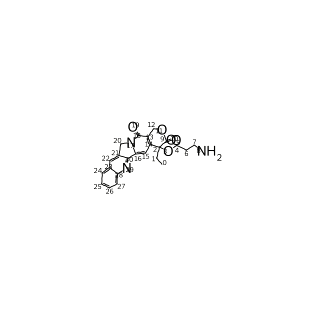 CCC1(OC(=O)CCN)C(=O)OCc2c1cc1n(c2=O)Cc2cc3ccccc3nc2-1